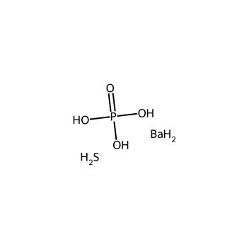 O=P(O)(O)O.S.[BaH2]